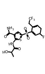 CC(O)C(=O)Nc1sc(S(=O)(=O)C2=CC(F)CC=C2CC(F)(F)F)cc1C(N)=O